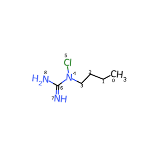 CCCCN(Cl)C(=N)N